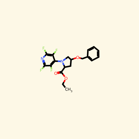 CCOC(=O)C1CC(OCc2ccccc2)CN1c1c(F)c(F)nc(F)c1F